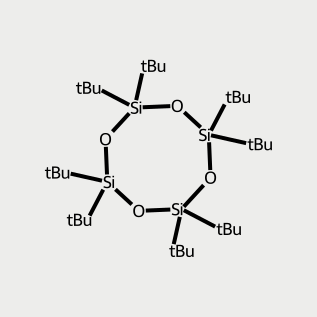 CC(C)(C)[Si]1(C(C)(C)C)O[Si](C(C)(C)C)(C(C)(C)C)O[Si](C(C)(C)C)(C(C)(C)C)O[Si](C(C)(C)C)(C(C)(C)C)O1